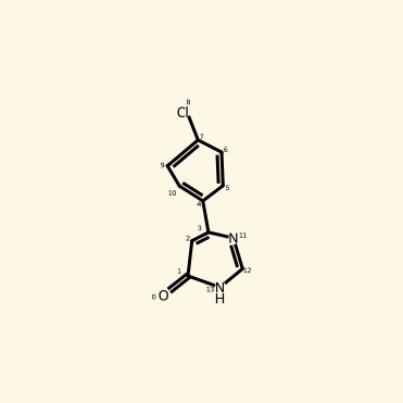 O=c1cc(-c2ccc(Cl)cc2)nc[nH]1